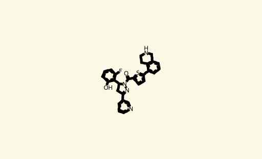 O=C(c1ccc(-c2cccc3c2CCNC3)s1)N1N=C(c2cccnc2)CC1c1c(O)cccc1F